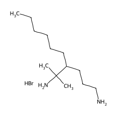 Br.CCCCCCC(CCCN)C(C)(C)N